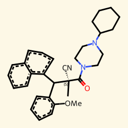 COc1ccccc1C(c1cccc2ccccc12)[C@@](C)(C#N)C(=O)N1CCN(C2CCCCC2)CC1